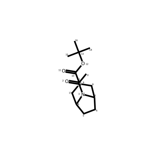 CC(=O)N1C2CCC1CN(C(=O)OC(C)(C)C)C2